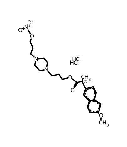 COc1ccc2cc([C@H](C)C(=O)OCCCN3CCN(CCCO[N+](=O)[O-])CC3)ccc2c1.Cl.Cl